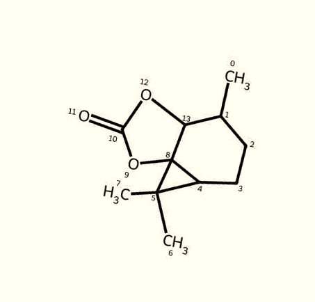 CC1CCC2C(C)(C)C23OC(=O)OC13